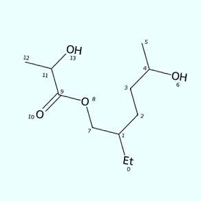 CCC(CCC(C)O)COC(=O)C(C)O